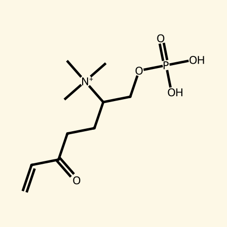 C=CC(=O)CCC(COP(=O)(O)O)[N+](C)(C)C